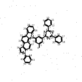 Cc1cc(-c2nc(-c3ccccc3)nc(-c3ccccc3)n2)cc(-n2c3ccccc3c3ccc4c5ccn(-c6ccccc6)c5ccc4c32)c1